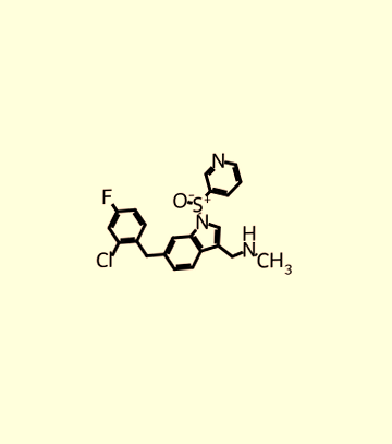 CNCc1cn([S+]([O-])c2cccnc2)c2cc(Cc3ccc(F)cc3Cl)ccc12